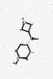 CN(C1COC1)[C@H]1CC[C@H](C)CC1